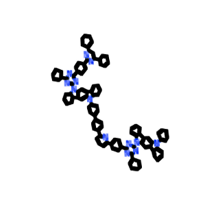 c1ccc(-c2cc(-c3ccccc3)nc(-c3ccc(-c4nc(-c5ccccc5)nc(-n5c6ccccc6c6cc7c(cc65)c5ccccc5n7-c5ccc(-c6ccc(-c7cccc(-c8ccc(-c9nc(-c%10ccccc%10)nc(-n%10c%11ccccc%11c%11cc%12c(cc%11%10)c%10ccccc%10n%12-c%10ccccc%10)n9)cc8)n7)cc6)cc5)n4)cc3)n2)cc1